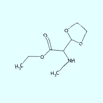 CCOC(=O)C(NC)C1OCCO1